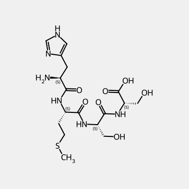 CSCC[C@H](NC(=O)[C@@H](N)Cc1c[nH]cn1)C(=O)N[C@@H](CO)C(=O)N[C@@H](CO)C(=O)O